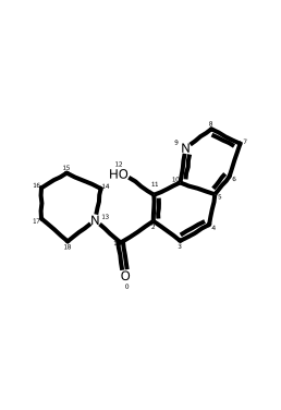 O=C(c1ccc2cccnc2c1O)N1CCCCC1